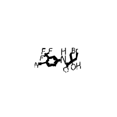 CC[C@](O)(CBr)C(=O)Nc1ccc(C#N)c(C(F)(F)F)c1